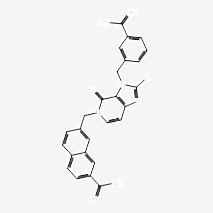 CCc1nc2ccn(Cc3ccc4ccc(C(=N)N)cc4c3)c(=O)c2n1Cc1cccc(C(=N)N)c1